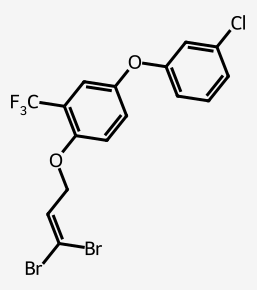 FC(F)(F)c1cc(Oc2cccc(Cl)c2)ccc1OCC=C(Br)Br